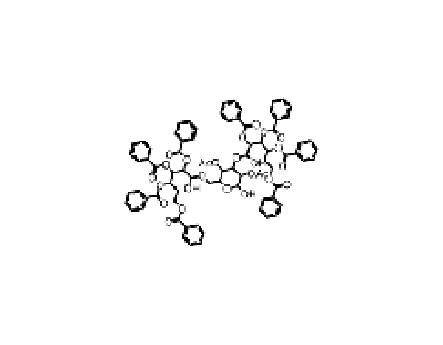 CC(=O)OC1C(O)OC(COC(O)C(OC(=O)c2ccccc2)C(OC(=O)c2ccccc2)C(CCOC(=O)c2ccccc2)OC(=O)c2ccccc2)C(OC(C)=O)C1OC(O)C(OC(=O)c1ccccc1)C(OC(=O)c1ccccc1)C(CCOC(=O)c1ccccc1)OC(=O)c1ccccc1